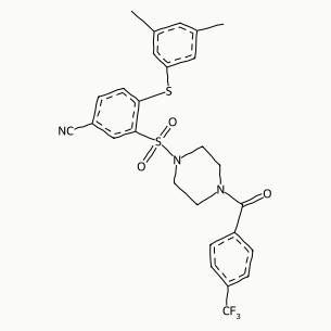 Cc1cc(C)cc(Sc2ccc(C#N)cc2S(=O)(=O)N2CCN(C(=O)c3ccc(C(F)(F)F)cc3)CC2)c1